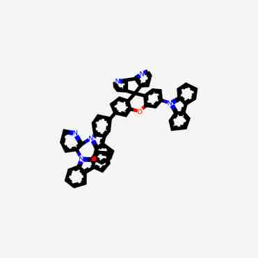 c1cnc(-n2c3ccccc3c3cc(-c4ccc5c(c4)Oc4cc(-n6c7ccccc7c7ccccc76)ccc4C54c5cccnc5-c5ncccc54)ccc32)c(-n2c3ccccc3c3ccccc32)c1